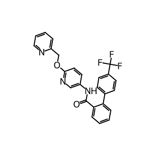 O=C(Nc1ccc(OCc2ccccn2)nc1)c1ccccc1-c1ccc(C(F)(F)F)cc1